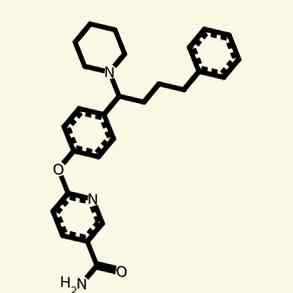 NC(=O)c1ccc(Oc2ccc(C(CCCc3ccccc3)N3CCCCC3)cc2)nc1